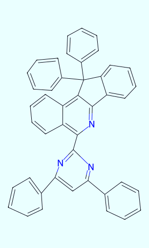 c1ccc(-c2cc(-c3ccccc3)nc(-c3nc4c(c5ccccc35)C(c3ccccc3)(c3ccccc3)c3ccccc3-4)n2)cc1